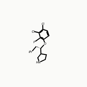 CC(C)C[C@H](Oc1ccc(Cl)c(Cl)c1F)C1CCNC1